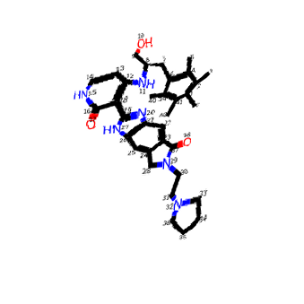 Cc1c(C)c(C)c(C[C@H](CO)Nc2cc[nH]c(=O)c2-c2nc3cc4c(cc3[nH]2)CN(CCN2CCCC2)C4=O)c(C)c1C